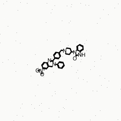 O=c1[nH]c2ccccc2n1C1CCN(Cc2ccc(C3=Nc4ccc([N+](=O)[O-])cc4CN3c3ccccc3)cc2)CC1